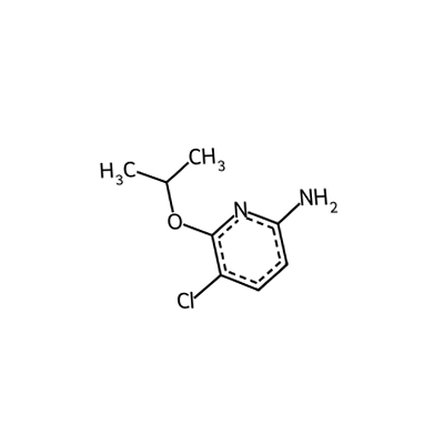 CC(C)Oc1nc(N)ccc1Cl